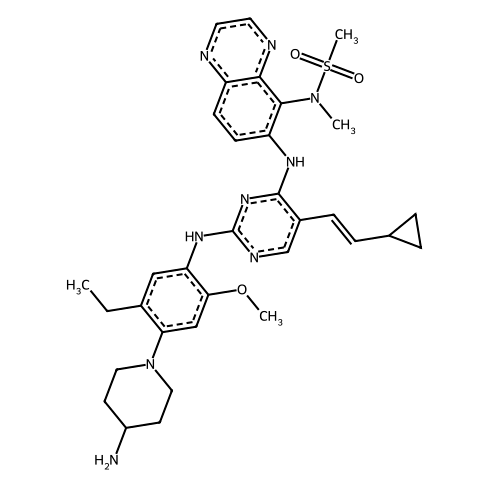 CCc1cc(Nc2ncc(/C=C/C3CC3)c(Nc3ccc4nccnc4c3N(C)S(C)(=O)=O)n2)c(OC)cc1N1CCC(N)CC1